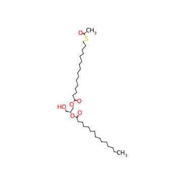 CCCCCCCCCCCCCCC(=O)O[C@@H](CO)COC(=O)CCCCCCCCCCCCCCCSC(C)=O